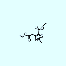 CCOC(=O)Cc1nc(C)sc1C(=O)OCC